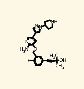 CC(C)(O)C#Cc1ccc(F)c(COc2cc(-c3cnn(C4CCNCC4)c3)cnc2N)c1